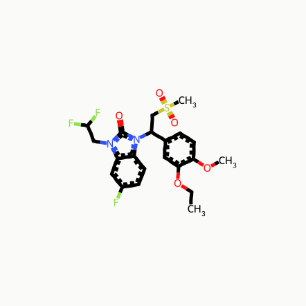 CCOc1cc(C(CS(C)(=O)=O)n2c(=O)n(CC(F)F)c3cc(F)ccc32)ccc1OC